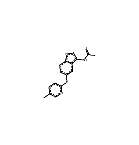 CC(=O)Nc1c[nH]c2ccc(Oc3ccc(C)cn3)cc12